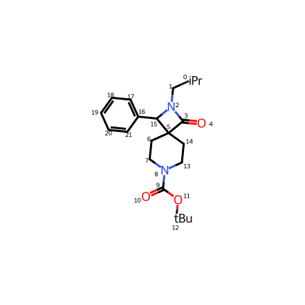 CC(C)CN1C(=O)C2(CCN(C(=O)OC(C)(C)C)CC2)C1c1ccccc1